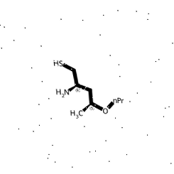 CCCO[C@@H](C)C[C@@H](N)CS